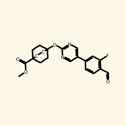 COC(=O)C12CCC(Oc3ncc(-c4ccc(C=O)c(F)c4)cn3)(CC1)CC2